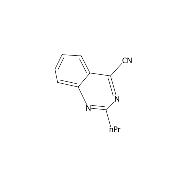 CCCc1nc(C#N)c2ccccc2n1